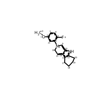 COc1ccc(F)c(N2C=c3[nH]c4c(c3=CC2)CCCC4)c1